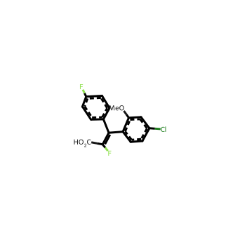 COc1cc(Cl)ccc1C(=C(F)C(=O)O)c1ccc(F)cc1